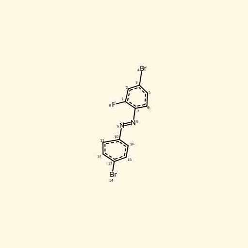 Fc1cc(Br)ccc1N=Nc1ccc(Br)cc1